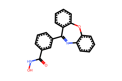 O=C(NO)c1cccc(C2=Nc3ccccc3Oc3ccccc32)c1